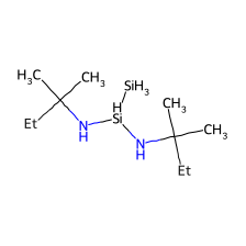 CCC(C)(C)N[SiH]([SiH3])NC(C)(C)CC